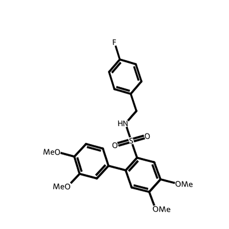 COc1ccc(-c2cc(OC)c(OC)cc2S(=O)(=O)NCc2ccc(F)cc2)cc1OC